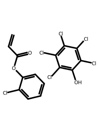 C=CC(=O)Oc1ccccc1Cl.Oc1c(Cl)c(Cl)c(Cl)c(Cl)c1Cl